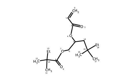 C=CC(=O)OC(COC(=O)C(C)(C)CC)CC(C)(C)CC